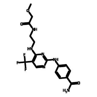 COCC(=O)NCCNc1nc(Nc2ccc(C(N)=O)cc2)ncc1C(F)(F)F